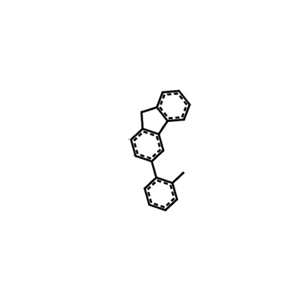 Cc1ccccc1-c1[c][c]c2c(c1)-c1ccccc1C2